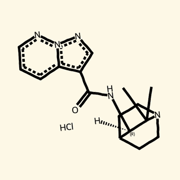 CC1(C)[C@H](NC(=O)c2cnn3ncccc23)C2CCN1CC2.Cl